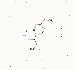 CCC1CNCc2cc(OC)ccc21